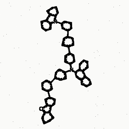 c1cc(-c2ccc(N(c3ccc(-c4ccc(-c5cccc(-n6c7ccccc7c7ccccc76)c5)cc4)cc3)c3cc4ccccc4c4ccccc34)cc2)cc(-c2ccc3c(c2)oc2ccccc23)c1